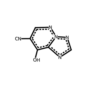 [C-]#[N+]c1cnn2ncnc2c1O